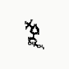 CCSC(=NC)c1cc(C(F)(F)F)ncn1